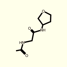 CC(=O)NCC(=O)NC1CCOC1